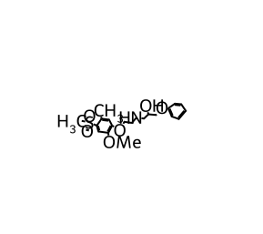 COc1cc(S(C)(=O)=O)c(C)cc1OCCNCC(O)COc1ccccc1